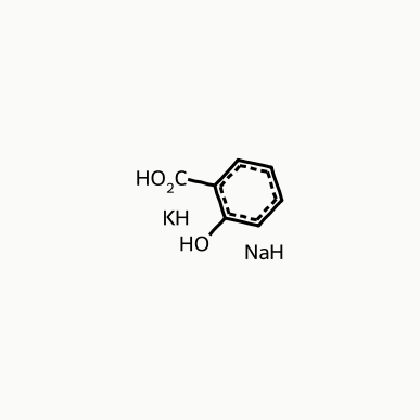 O=C(O)c1ccccc1O.[KH].[NaH]